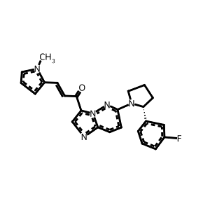 Cn1cccc1C=CC(=O)c1cnc2ccc(N3CCC[C@@H]3c3cccc(F)c3)nn12